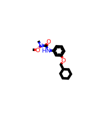 CON(C)C(=O)Nc1cccc(OCC2CCCCC2)c1